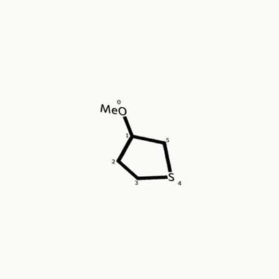 [CH2]OC1CCSC1